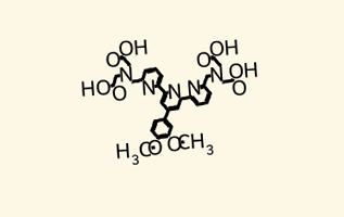 COc1ccc(-c2cc(-c3cccc(CN(CC(=O)O)CC(=O)O)n3)nc(-c3cccc(CN(CC(=O)O)CC(=O)O)n3)c2)cc1OC